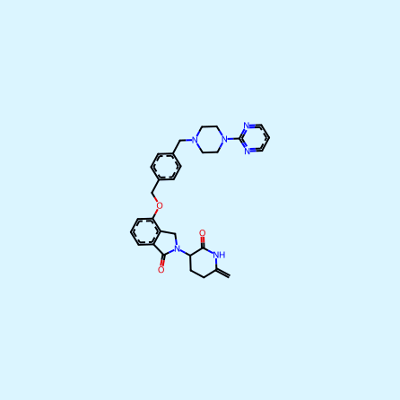 C=C1CCC(N2Cc3c(OCc4ccc(CN5CCN(c6ncccn6)CC5)cc4)cccc3C2=O)C(=O)N1